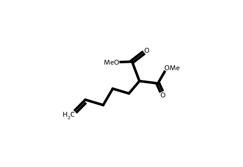 C=CCCCC(C(=O)OC)C(=O)OC